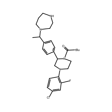 CC(c1ccc(C2CN(c3ccc(Cl)cc3F)CCN2C(=O)C(C)(C)C)cc1)N1CCCNCC1